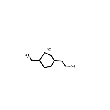 Cl.NCC1CCC(CCO)CC1